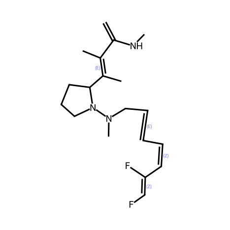 C=C(NC)/C(C)=C(\C)C1CCCN1N(C)C/C=C/C=C\C(F)=C\F